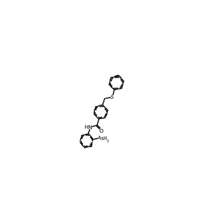 O=C(Nc1ccccc1[AsH2])c1ccc(CSc2ccccc2)cc1